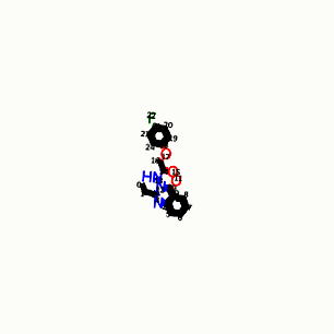 CCc1nc2ccccc2c(=O)n1NC(=O)COc1ccc(F)cc1